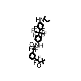 CCC(C)Nc1ccc(C(c2ccc(NC(=O)C(F)(F)c3cccc(C(F)(F)C(=O)C(C)(C)C)c3)cc2)(C(F)(F)F)C(F)(F)F)cc1